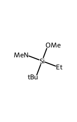 CC[Si](NC)(OC)C(C)(C)C